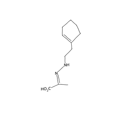 CC(=NNCCC1=CCCCC1)C(=O)O